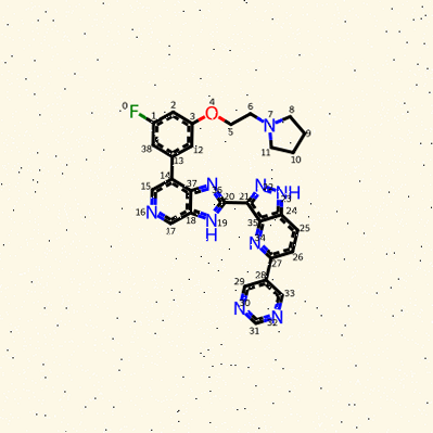 Fc1cc(OCCN2CCCC2)cc(-c2cncc3[nH]c(-c4n[nH]c5ccc(-c6cncnc6)nc45)nc23)c1